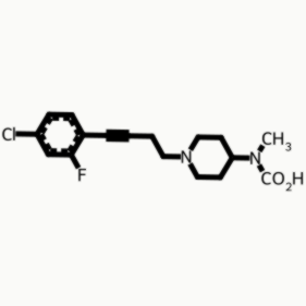 CN(C(=O)O)C1CCN(CCC#Cc2ccc(Cl)cc2F)CC1